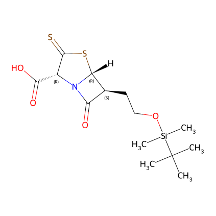 CC(C)(C)[Si](C)(C)OCC[C@H]1C(=O)N2[C@H](C(=O)O)C(=S)S[C@H]12